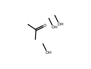 CC(C)=O.CO.CO.CO